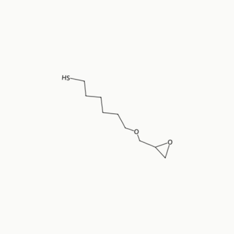 SCCCCCCOCC1CO1